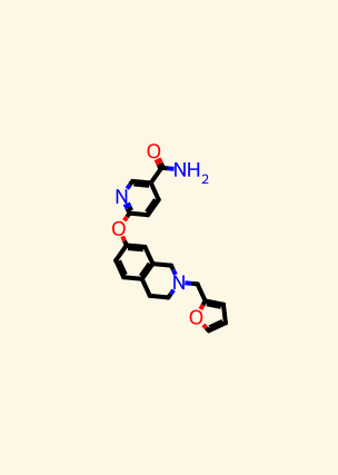 NC(=O)c1ccc(Oc2ccc3c(c2)CN(Cc2ccco2)CC3)nc1